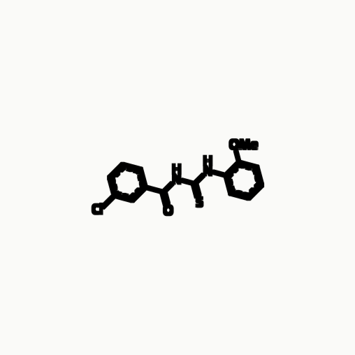 COc1ccccc1NC(=S)NC(=O)c1cccc(Cl)c1